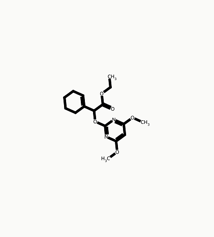 CCOC(=O)C(Oc1nc(OC)cc(OC)n1)C1=CCCCC1